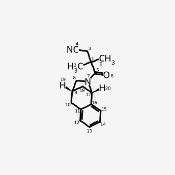 CC(C)(CC#N)C(=O)N1C[C@H]2Cc3ccccc3[C@@H]1C2